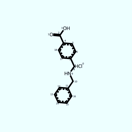 Cl.O=C(O)c1ccc(CNCc2ccccc2)cc1